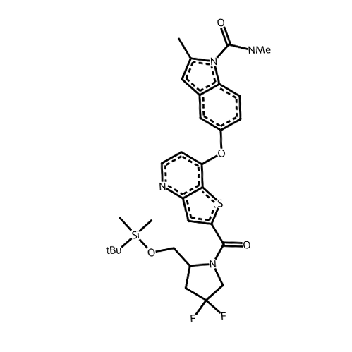 CNC(=O)n1c(C)cc2cc(Oc3ccnc4cc(C(=O)N5CC(F)(F)CC5CO[Si](C)(C)C(C)(C)C)sc34)ccc21